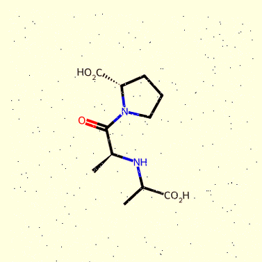 CC(N[C@@H](C)C(=O)N1CCC[C@H]1C(=O)O)C(=O)O